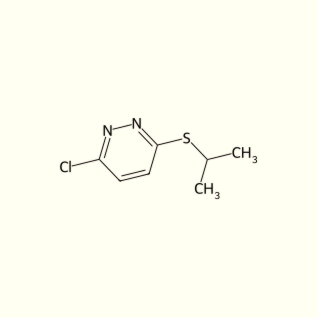 CC(C)Sc1ccc(Cl)nn1